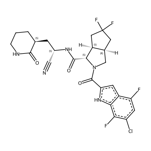 N#C[C@H](C[C@@H]1CCCNC1=O)NC(=O)[C@@H]1[C@H]2CC(F)(F)C[C@H]2CN1C(=O)c1cc2c(F)cc(Cl)c(F)c2[nH]1